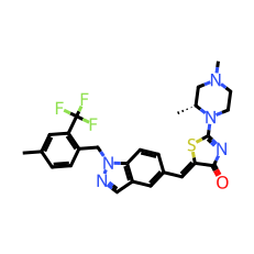 Cc1ccc(Cn2ncc3cc(/C=C4\SC(N5CCN(C)C[C@H]5C)=NC4=O)ccc32)c(C(F)(F)F)c1